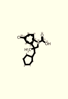 CC1(CC2CCCCC2)CN(C(=O)O)c2ccc(Cl)cc21